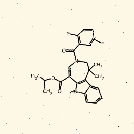 CC(C)OC(=O)C1=CN(C(=O)c2cc(F)ccc2F)CC(C)(C)c2c1[nH]c1ccccc21